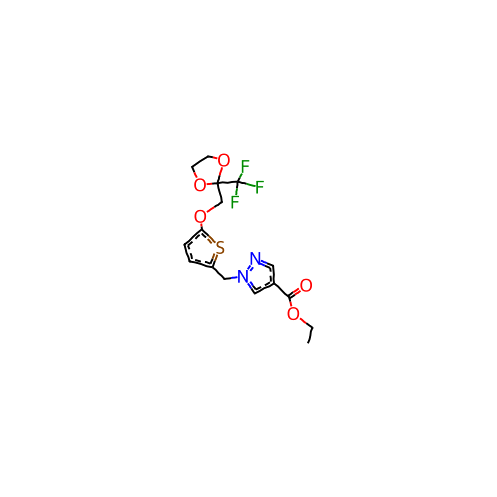 CCOC(=O)c1cnn(Cc2ccc(OCC3(C(F)(F)F)OCCO3)s2)c1